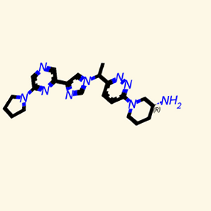 CC(c1ccc(N2CCC[C@@H](N)C2)nn1)n1cnc(-c2cncc(N3CCCC3)n2)c1